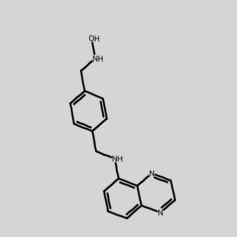 ONCc1ccc(CNc2cccc3nccnc23)cc1